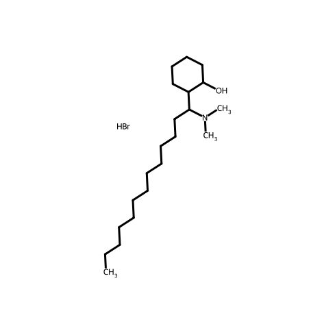 Br.CCCCCCCCCCCCC(C1CCCCC1O)N(C)C